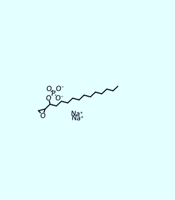 CCCCCCCCCCCCC(OP(=O)([O-])[O-])C1CO1.[Na+].[Na+]